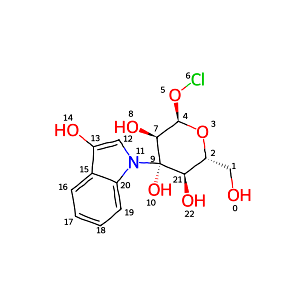 OC[C@H]1O[C@H](OCl)[C@H](O)[C@](O)(n2cc(O)c3ccccc32)[C@@H]1O